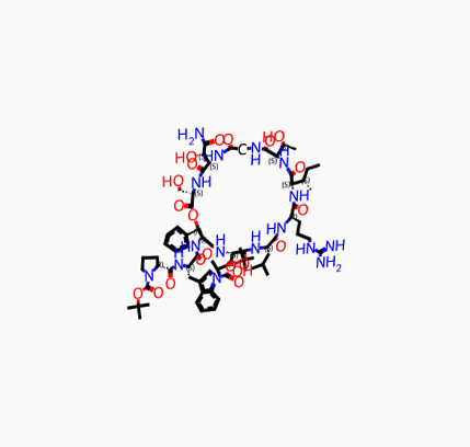 CC[C@H](C)[C@@H]1NC(=O)[C@@H](CCCNC(=N)N)NC(=O)[C@H](CC(C)C)NC(=O)[C@H]([C@H](O)C(C)C)NC(=O)[C@@H](NC(=O)[C@H](Cc2cn(C(=O)OC(C)(C)C)c3ccccc23)NC(=O)[C@H]2CCCN2C(=O)OC(C)(C)C)[C@@H](c2ccccc2)OC(=O)[C@H](CO)NC(=O)[C@H]([C@H](O)C(N)=O)NC(=O)CNC(=O)[C@H]([C@H](C)O)NC1=O